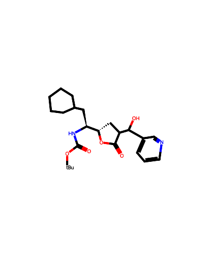 CC(C)(C)OC(=O)N[C@@H](CC1CCCCC1)[C@@H]1CC(C(O)c2cccnc2)C(=O)O1